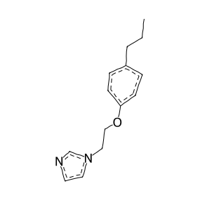 CCCc1ccc(OCCn2ccnc2)cc1